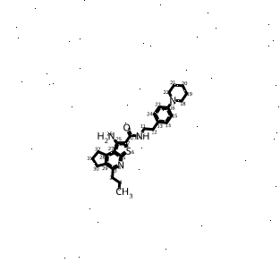 CCCc1nc2sc(C(=O)NCCc3ccc(N4CCCCC4)cc3)c(N)c2c2c1CCC2